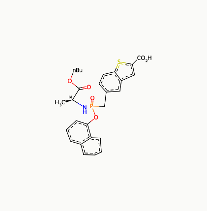 CCCCOC(=O)[C@H](C)NP(=O)(Cc1ccc2sc(C(=O)O)cc2c1)Oc1cccc2ccccc12